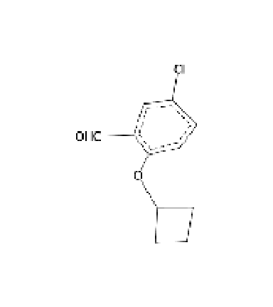 O=Cc1cc(Cl)ccc1OC1CCC1